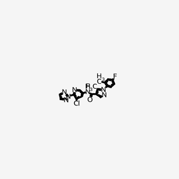 Cc1cc(F)ccc1-n1ncc(C(=O)Nc2cnc(-n3nccn3)c(Cl)c2)c1C(F)(F)F